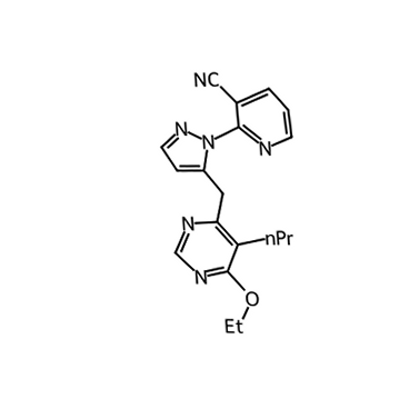 CCCc1c(Cc2ccnn2-c2ncccc2C#N)ncnc1OCC